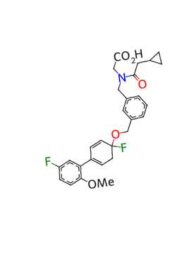 COc1ccc(F)cc1C1=CCC(F)(OCc2cccc(CN(CC(=O)O)C(=O)CC3CC3)c2)C=C1